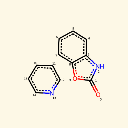 O=c1[nH]c2ccccc2o1.c1ccncc1